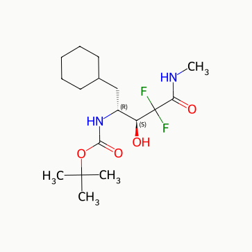 CNC(=O)C(F)(F)[C@@H](O)[C@@H](CC1CCCCC1)NC(=O)OC(C)(C)C